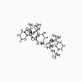 [2H]C([2H])([2H])c1cccc(C([2H])([2H])[2H])c1NC(=O)CN1CCN(C([2H])([2H])C(O)C([2H])([2H])Oc2ccccc2OC)CC1